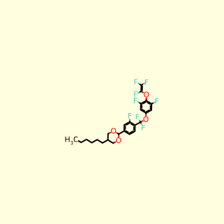 CCCCCCC1COC(c2ccc(C(F)(F)Oc3cc(F)c(OC(F)=C(F)F)c(F)c3)c(F)c2)OC1